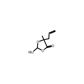 C=CCC1(C)OC(C(C)(C)C)OC1=O